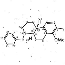 COc1c(C)ccc2c1CC[C@@H]1[C@@H]2CCCN1Cc1ccccc1